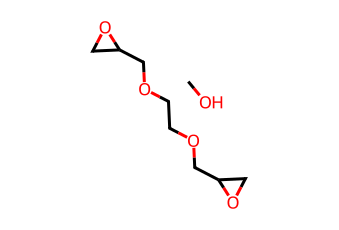 C(COCC1CO1)OCC1CO1.CO